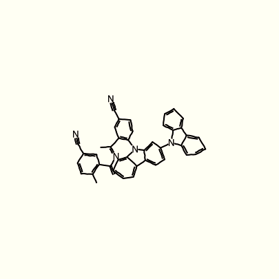 C=C(/N=C(\C)c1cc(C#N)ccc1-n1c2ccccc2c2ccc(-n3c4ccccc4c4ccccc43)cc21)c1cc(C#N)ccc1C